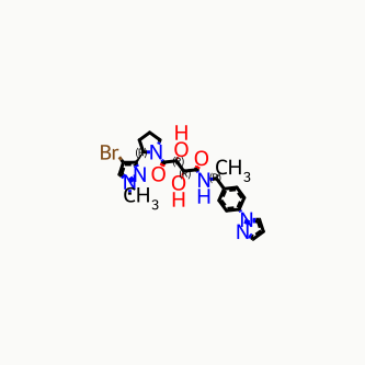 C[C@@H](NC(=O)[C@H](O)[C@@H](O)C(=O)N1CCC[C@@H]1c1nn(C)cc1Br)c1ccc(-n2cccn2)cc1